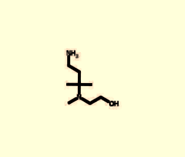 CN(CCO)C(C)(C)CCN